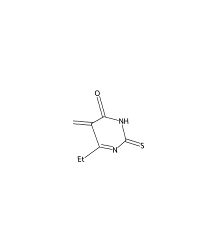 C=C1C(=O)NC(=S)N=C1CC